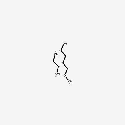 COCCCCO.OCCO